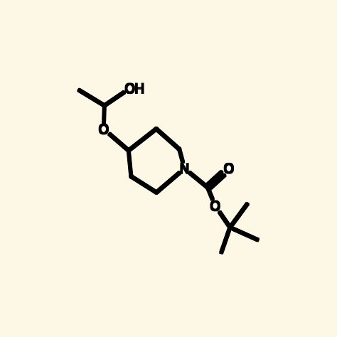 CC(O)OC1CCN(C(=O)OC(C)(C)C)CC1